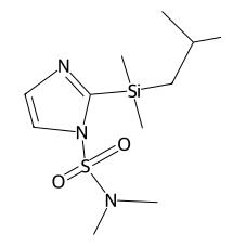 CC(C)C[Si](C)(C)c1nccn1S(=O)(=O)N(C)C